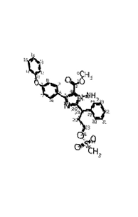 COC(=O)c1c(-c2ccc(Oc3ccccc3)cc2)nc(C(CCOS(C)(=O)=O)c2ccccc2)n1N